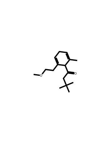 COCCC1=CCC=C(C)C1C(=O)CC(C)(C)C